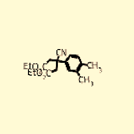 CCOC(=O)CC(C#N)(CC(=O)OCC)c1ccc(C)c(C)c1